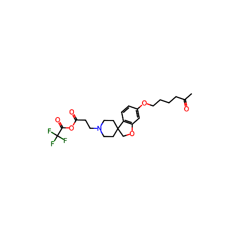 CC(=O)CCCCOc1ccc2c(c1)OCC21CCN(CCC(=O)OC(=O)C(F)(F)F)CC1